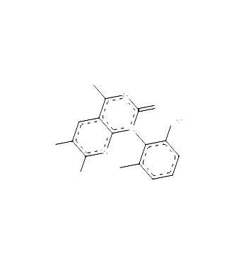 COc1cccc(C)c1-n1c(=O)nc(Cl)c2cc(F)c(Cl)nc21